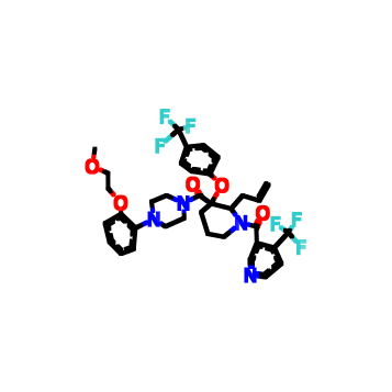 C=CCC1N(C(=O)c2cnccc2C(F)(F)F)CCCC1(Oc1ccc(C(F)(F)F)cc1)C(=O)N1CCN(c2ccccc2OCCOC)CC1